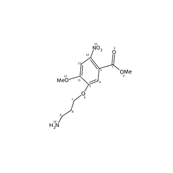 COC(=O)c1cc(OCCCN)c(OC)cc1[N+](=O)[O-]